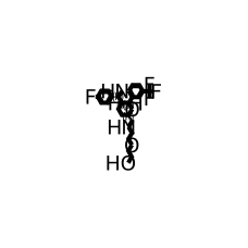 OCCOCCNC[C@H]1CC[C@@H]2[C@H](O1)c1cc(C(F)(F)F)ccc1N[C@H]2c1ccc(F)cc1